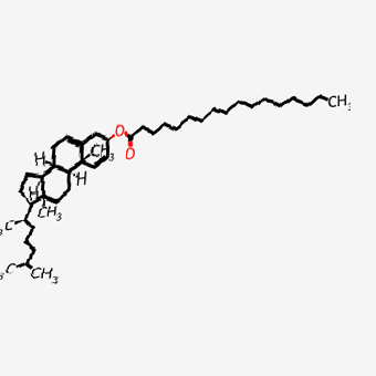 CCCCCCCCCCCCCCCCC(=O)O[C@H]1C=C[C@@]2(C)C(=CC[C@H]3[C@@H]4CC[C@H]([C@H](C)CCCC(C)C)[C@@]4(C)CC[C@@H]32)C1